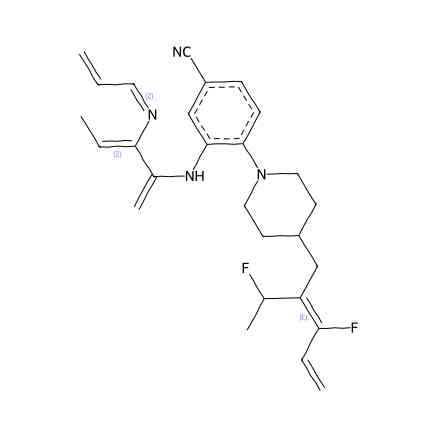 C=C/C=N\C(=C/C)C(=C)Nc1cc(C#N)ccc1N1CCC(C/C(=C(\F)C=C)C(C)F)CC1